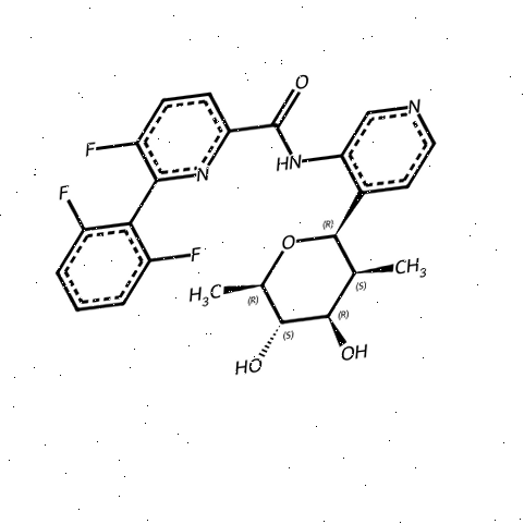 C[C@H]1[C@@H](O)[C@H](O)[C@@H](C)O[C@H]1c1ccncc1NC(=O)c1ccc(F)c(-c2c(F)cccc2F)n1